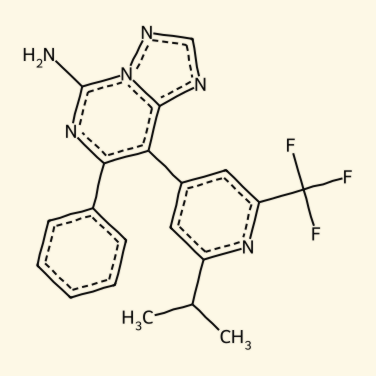 CC(C)c1cc(-c2c(-c3ccccc3)nc(N)n3ncnc23)cc(C(F)(F)F)n1